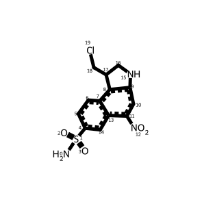 NS(=O)(=O)c1ccc2c3c(cc([N+](=O)[O-])c2c1)NCC3CCl